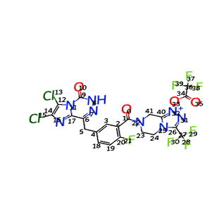 O=C(c1cc(Cc2n[nH]c(=O)n3c(Cl)c(Cl)nc23)ccc1F)N1CCn2c(C(F)(F)F)n[n+](OC(=O)C(F)(F)F)c2C1